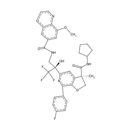 COc1cc(C(=O)NC[C@](O)(c2cc3c(c(-c4ccc(F)cc4)n2)OC[C@]3(C)C(=O)NC2CCCC2)C(F)(F)F)cc2cccnc12